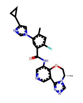 Cc1cc(F)c(C(=O)Nc2cncc3c2OC[C@H](C)n2cnnc2-3)cc1-n1cnc(C2CC2)c1